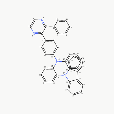 c1ccc(-c2nccnc2-c2ccc(N(c3ccccc3)c3ccccc3-n3c4ccccc4c4ccccc43)cc2)cc1